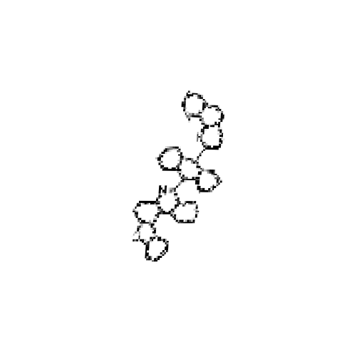 c1cnc2c(c1)ccc1ccc(-c3c4ccccc4c(-c4nc5ccc6oc7ccccc7c6c5c5ccccc45)c4ccccc34)nc12